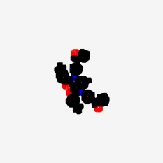 Cc1cc2c3c(c1)N(c1ccc(-c4coc5ccccc45)cc1)c1c(oc4ccc(C(C)(C)C)cc14)B3c1oc3ccc(C(C)(C)C)cc3c1N2c1ccc(-c2coc3ccccc23)cc1